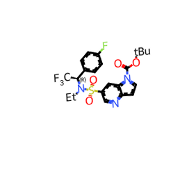 CCN([C@H](c1ccc(F)cc1)C(F)(F)F)S(=O)(=O)c1cnc2ccn(C(=O)OC(C)(C)C)c2c1